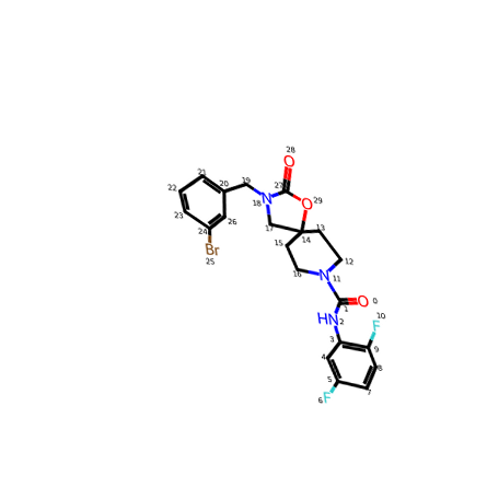 O=C(Nc1cc(F)ccc1F)N1CCC2(CC1)CN(Cc1cccc(Br)c1)C(=O)O2